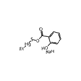 C[CH2][Hg][S]OC(=O)c1ccccc1O.[NaH]